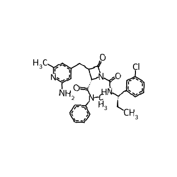 CC[C@@H](NC(=O)N1C(=O)C(Cc2cc(C)nc(N)c2)[C@H]1C(=O)N(C)c1ccccc1)c1cccc(Cl)c1